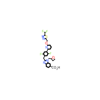 O=C(O)c1ccc2nc(Cc3cc(F)c(-c4cccc(OCc5nnc(C(F)F)s5)n4)cc3F)n(CC3CCO3)c2c1